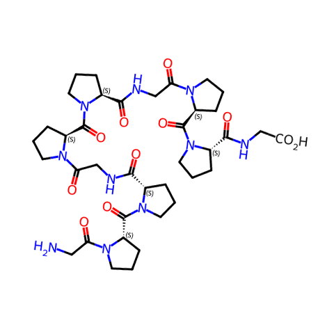 NCC(=O)N1CCC[C@H]1C(=O)N1CCC[C@H]1C(=O)NCC(=O)N1CCC[C@H]1C(=O)N1CCC[C@H]1C(=O)NCC(=O)N1CCC[C@H]1C(=O)N1CCC[C@H]1C(=O)NCC(=O)O